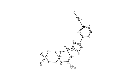 CC#Cc1cncc(-c2csc(C3(C)CC4(CCS(=O)(=O)CC4)OC(N)=N3)c2)c1